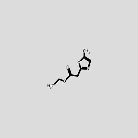 CCOC(=O)Cc1ncc(C)o1